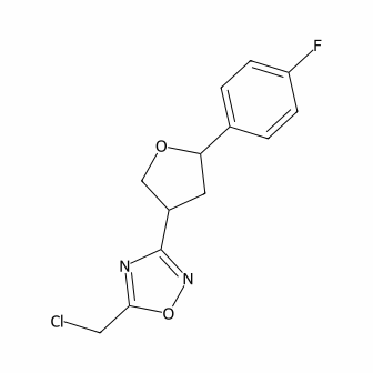 Fc1ccc(C2CC(c3noc(CCl)n3)CO2)cc1